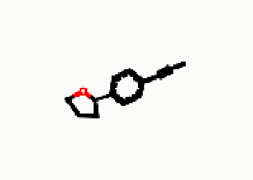 CC#Cc1ccc([C@H]2CCCO2)cc1